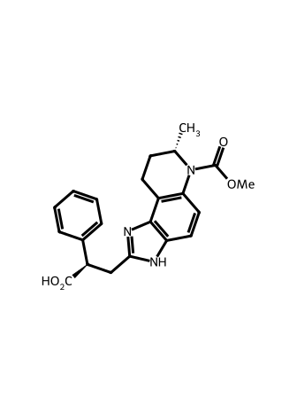 COC(=O)N1c2ccc3[nH]c(C[C@@H](C(=O)O)c4ccccc4)nc3c2CC[C@@H]1C